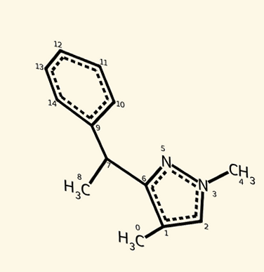 Cc1cn(C)nc1C(C)c1ccccc1